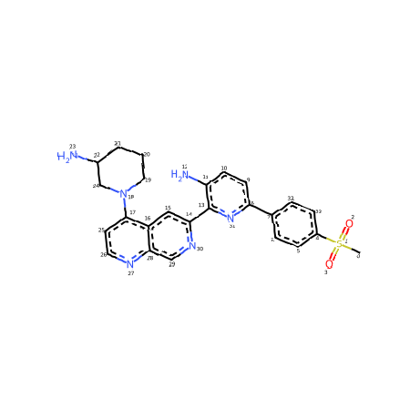 CS(=O)(=O)c1ccc(-c2ccc(N)c(-c3cc4c(N5CCCC(N)C5)ccnc4cn3)n2)cc1